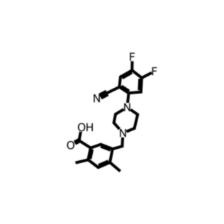 Cc1cc(C)c(C(=O)O)cc1CN1CCN(c2cc(F)c(F)cc2C#N)CC1